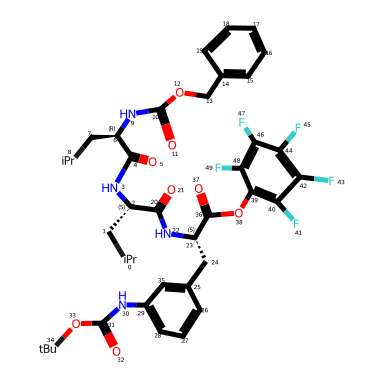 CC(C)C[C@H](NC(=O)[C@@H](CC(C)C)NC(=O)OCc1ccccc1)C(=O)N[C@@H](Cc1cccc(NC(=O)OC(C)(C)C)c1)C(=O)Oc1c(F)c(F)c(F)c(F)c1F